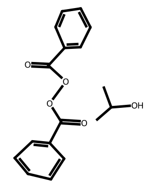 CC(C)O.O=C(OOC(=O)c1ccccc1)c1ccccc1